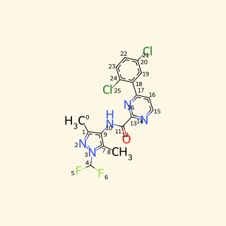 Cc1nn(C(F)F)c(C)c1NC(=O)c1nccc(-c2cc(Cl)ccc2Cl)n1